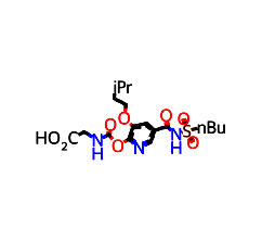 CCCCS(=O)(=O)NC(=O)c1cnc(OC(=O)NCC(=O)O)c(OCCC(C)C)c1